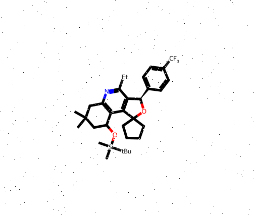 CCc1nc2c(c3c1[C@@H](c1ccc(C(F)(F)F)cc1)OC31CCCC1)C(O[Si](C)(C)C(C)(C)C)CC(C)(C)C2